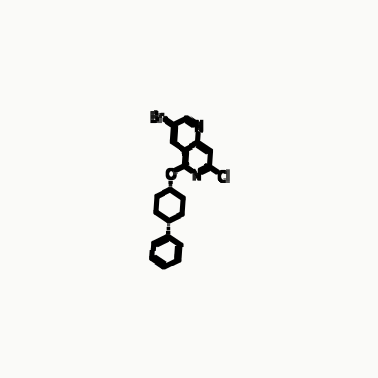 Clc1cc2ncc(Br)cc2c(O[C@H]2CC[C@@H](c3ccccc3)CC2)n1